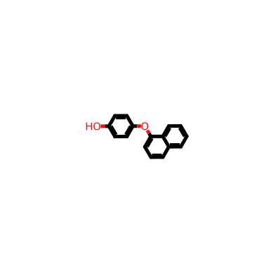 Oc1ccc(Oc2cccc3ccccc23)cc1